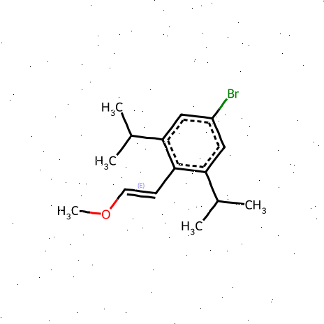 CO/C=C/c1c(C(C)C)cc(Br)cc1C(C)C